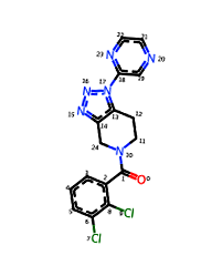 O=C(c1cccc(Cl)c1Cl)N1CCc2c(nnn2-c2cnccn2)C1